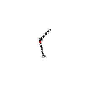 CNC(=O)COCCOCCOCCOCCOCN(C)C(=O)COCCOCCOCCOC